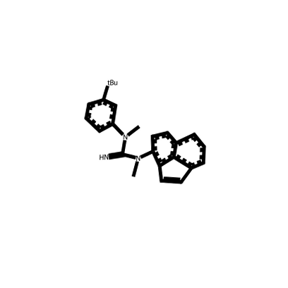 CN(C(=N)N(C)c1ccc2cccc3c2c1C=C3)c1cccc(C(C)(C)C)c1